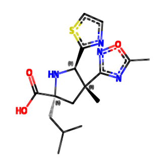 Cc1nc([C@]2(C)C[C@@](CC(C)C)(C(=O)O)N[C@H]2c2nccs2)no1